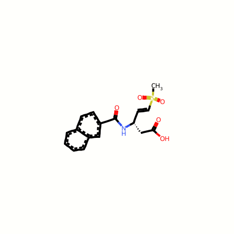 CS(=O)(=O)/C=C/[C@H](CC(=O)O)NC(=O)c1ccc2ccccc2c1